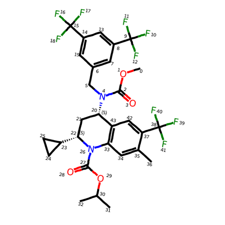 COC(=O)N(Cc1cc(C(F)(F)F)cc(C(F)(F)F)c1)[C@H]1C[C@@H](C2CC2)N(C(=O)OC(C)C)c2cc(C)c(C(F)(F)F)cc21